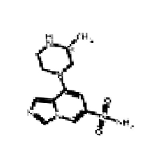 C[C@H]1CN(c2cc(S(N)(=O)=O)cn3cncc23)CCN1